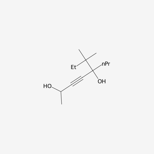 CCCC(O)(C#CC(C)O)C(C)(C)CC